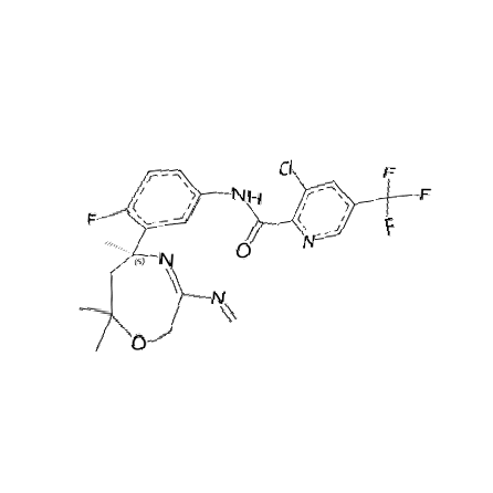 C=NC1=N[C@](C)(c2cc(NC(=O)c3ncc(C(F)(F)F)cc3Cl)ccc2F)CC(C)(C)OC1